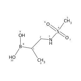 CC(CNS(C)(=O)=O)B(O)O